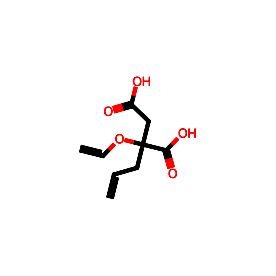 C=CCC(CC(=O)O)(OC=C)C(=O)O